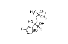 C[Si](C)(C)CCC(O)(c1cccc(F)c1)P(=O)(O)O